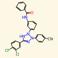 N#Cc1ccc(N2N=C(c3ccc(Cl)c(Cl)c3)NN2c2cccc(NC(=O)c3ccccc3)c2)cc1